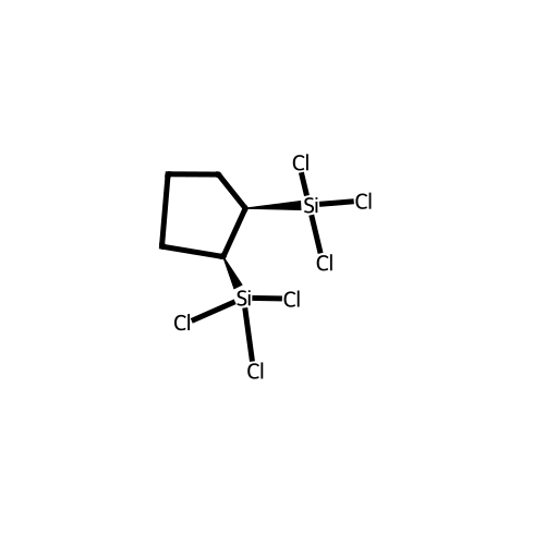 Cl[Si](Cl)(Cl)[C@@H]1CCC[C@@H]1[Si](Cl)(Cl)Cl